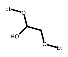 [CH2]COC(O)COCC